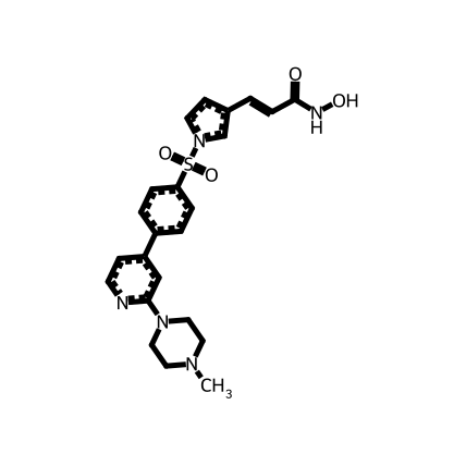 CN1CCN(c2cc(-c3ccc(S(=O)(=O)n4ccc(C=CC(=O)NO)c4)cc3)ccn2)CC1